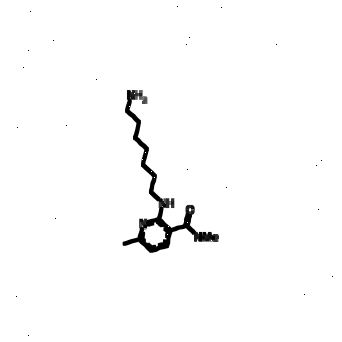 CNC(=O)c1ccc(C)nc1NCCCCCCCN